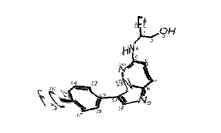 CCC(CO)Nc1ccc2ncc(-c3ccc(C(F)(F)F)cc3)n2n1